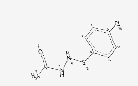 NC(=O)NNSc1ccc(Cl)cc1